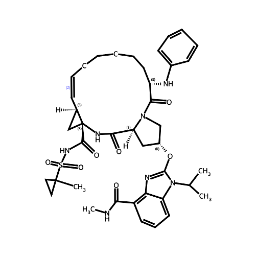 CNC(=O)c1cccc2c1nc(O[C@@H]1C[C@H]3C(=O)N[C@]4(C(=O)NS(=O)(=O)C5(C)CC5)C[C@H]4/C=C\CCCCC[C@H](Nc4ccccc4)C(=O)N3C1)n2C(C)C